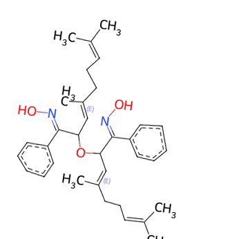 CC(C)=CCC/C(C)=C/C(OC(/C=C(\C)CCC=C(C)C)C(=NO)c1ccccc1)C(=NO)c1ccccc1